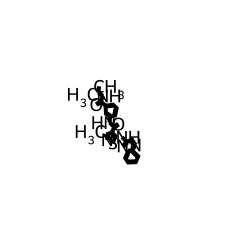 Cc1nsc(Nc2cnc3ccccc3n2)c1C(=O)Nc1cccc(C(=O)NC(C)C)c1